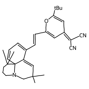 CC1(C)C=C2C(/C=C/C3=CC(=C(C#N)C#N)C=C(C(C)(C)C)O3)=CC=CC23N(CCCC3(C)C)C1